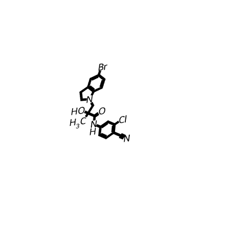 CC(O)(CN1CCc2cc(Br)ccc21)C(=O)Nc1ccc(C#N)c(Cl)c1